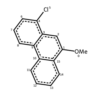 COc1cc2c(Cl)cccc2c2ccccc12